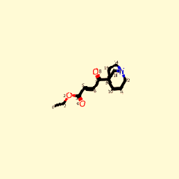 CCOC(=O)C=CC(=O)C12CCCN(CC1)C2